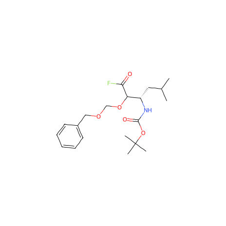 CC(C)C[C@H](NC(=O)OC(C)(C)C)C(OCOCc1ccccc1)C(=O)F